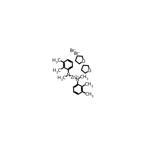 C1CCOC1.C1CCOC1.Cc1cccc([N](C)[Zr+2][N](C)c2cccc(C)c2C)c1C.[Br-].[Br-]